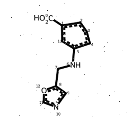 O=C(O)c1cccc(NCc2cnco2)c1